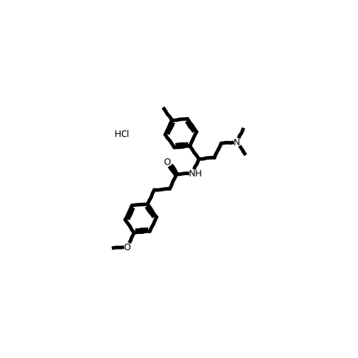 COc1ccc(CCC(=O)NC(CCN(C)C)c2ccc(C)cc2)cc1.Cl